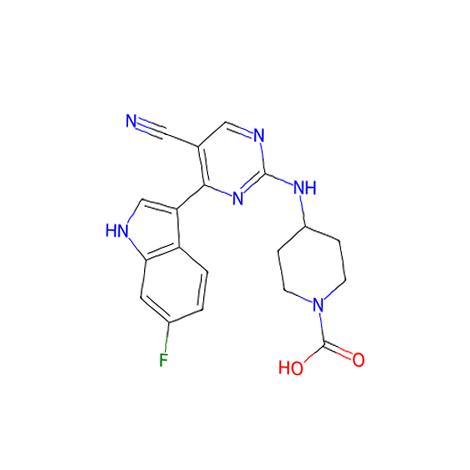 N#Cc1cnc(NC2CCN(C(=O)O)CC2)nc1-c1c[nH]c2cc(F)ccc12